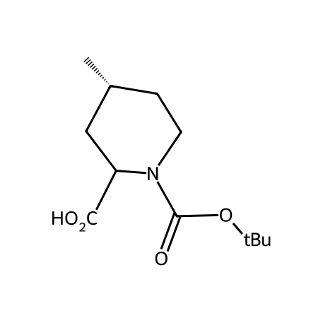 C[C@@H]1CCN(C(=O)OC(C)(C)C)C(C(=O)O)C1